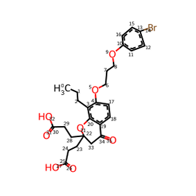 CCCc1c(OCCCOc2ccc(Br)cc2)ccc2c1OC(CCC(=O)O)(CCC(=O)O)CC2=O